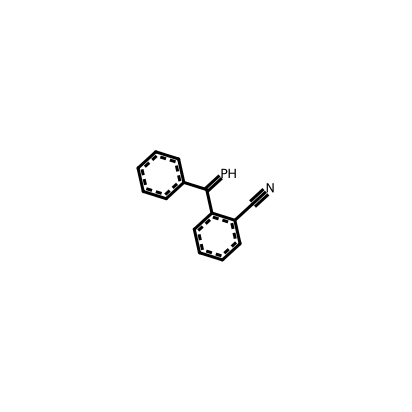 N#Cc1ccccc1C(=P)c1ccccc1